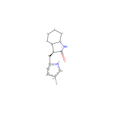 O=C1NC2CCCCC2[C@@H]1Cc1ccc(I)cn1